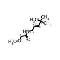 COCC(=O)NC/C=C/C(C)(C)C